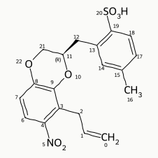 C=CCc1c([N+](=O)[O-])ccc2c1O[C@H](Cc1cc(C)ccc1S(=O)(=O)O)CO2